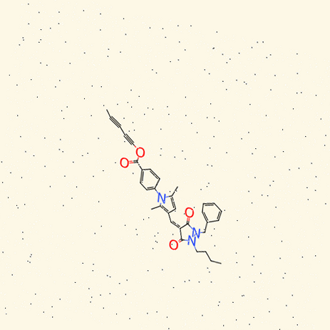 CC#CC#COC(=O)c1ccc(-n2c(C)cc(C=C3C(=O)N(CCCC)N(Cc4ccccc4)C3=O)c2C)cc1